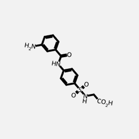 Nc1cccc(C(=O)Nc2ccc(S(=O)(=O)NCC(=O)O)cc2)c1